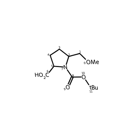 COCC1CCC(C(=O)O)N1C(=O)OC(C)(C)C